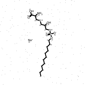 CCCCCCCCCCCCOP(=O)([O-])OCC(O)CSCC(N)C(=O)O.[Na+]